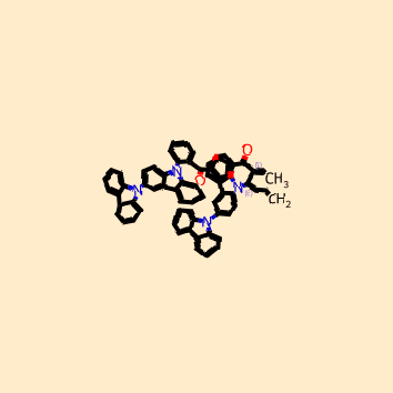 C=C/C=C(\C(=C/C)C(=O)c1ccc(C(=O)c2ccccc2-n2c3ccccc3c3cc(-n4c5ccccc5c5ccccc54)ccc32)cc1)n1c2ccccc2c2cc(-n3c4ccccc4c4ccccc43)ccc21